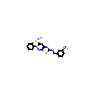 CCCOc1cc(=NC(=O)NCc2cccc(C(F)(F)F)c2)cnn1-c1ccccc1